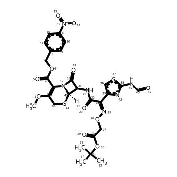 COC1=C(C(=O)OCc2ccc([N+](=O)[O-])cc2)N2C(=O)C(NC(=O)/C(=N\OCC(=O)OC(C)(C)C)c3csc(NC=O)n3)[C@H]2SC1